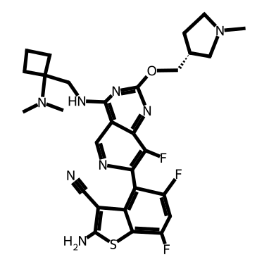 CN1CC[C@@H](COc2nc(NCC3(N(C)C)CCC3)c3cnc(-c4c(F)cc(F)c5sc(N)c(C#N)c45)c(F)c3n2)C1